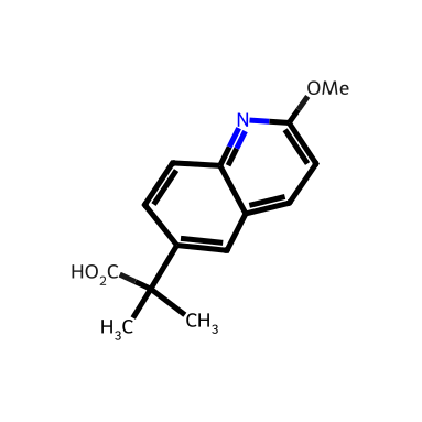 COc1ccc2cc(C(C)(C)C(=O)O)ccc2n1